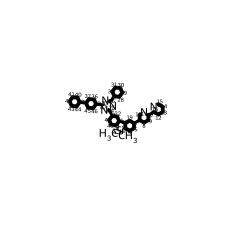 C[Si]1(C)c2ccc(-c3ccc(-c4ccccn4)nc3)cc2-c2cc(-c3nc(-c4ccccc4)nc(-c4ccc(-c5ccccc5)cc4)n3)ccc21